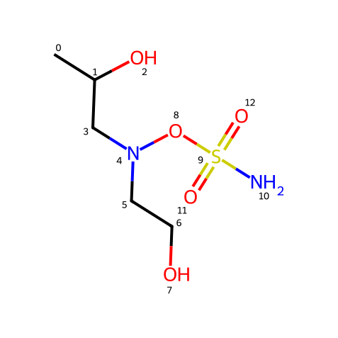 CC(O)CN(CCO)OS(N)(=O)=O